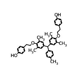 Cc1ccc(C(c2cc(C)c(OCCc3ccc(O)cc3)c(C)c2)c2cc(C)c(OCCc3ccc(O)cc3)c(C)c2)cc1